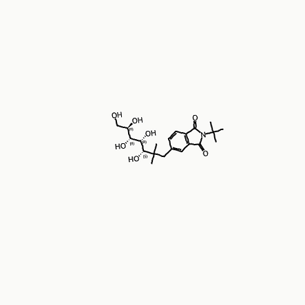 CC(C)(Cc1ccc2c(c1)C(=O)N(C(C)(C)C)C2=O)[C@H](O)[C@@H](O)[C@H](O)[C@H](O)CO